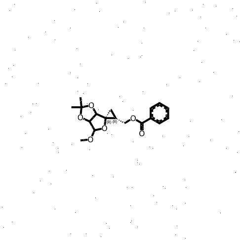 COC1O[C@@]2(C[C@@H]2COC(=O)c2ccccc2)C2OC(C)(C)OC12